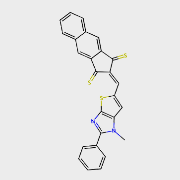 Cn1c(-c2ccccc2)nc2sc(C=C3C(=S)c4cc5ccccc5cc4C3=S)cc21